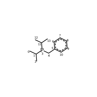 CC(C)P(Cc1ccccc1)C(C)C